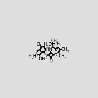 Cc1cc([C@H](Nc2c(Nc3ccc(Cl)c4c3C(O)N(N)C4)c(=O)c2=O)C(C)(C)C)oc1C